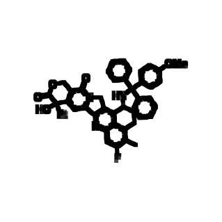 CC[C@@]1(O)C(=O)OCc2c1cc1n(c2=O)Cc2c-1nc1cc(F)c(C)c3c1c2[C@@H](NC(c1ccccc1)(c1ccccc1)c1ccc(OC)cc1)CC3